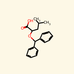 CC(C)CC(OC(c1ccccc1)c1ccccc1)C(=O)O